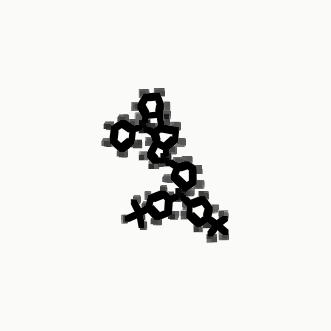 CC(C)(C)c1ccc(N(c2ccc(C(C)(C)C)cc2)c2cccc(-n3ccc4c3ccc3c5ccccc5n(-c5ccccc5)c34)c2)cc1